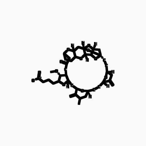 C=C1C(C)C[C@@H]2CC[C@@H]3O[C@@H](CC[C@@]45C[C@H]6O[C@H]7C(O4)[C@H]4OC(CCC4O[C@H]7C6O5)CC(=O)CC4[C@@H](OC)C(CCC[N+](=O)[O-])O[C@H]4CC1O2)CC3=C